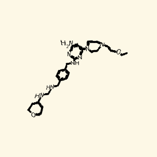 CCOCCN1CCN(c2cc(N)nc(NCc3ccc(CNCNC4CCOCC4)cc3)n2)CC1